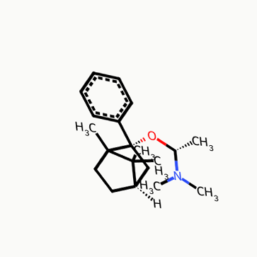 C[C@@H](O[C@]1(c2ccccc2)C[C@H]2CCC1(C)C2(C)C)N(C)C